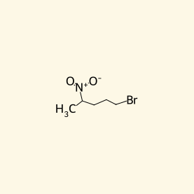 CC(CCCBr)[N+](=O)[O-]